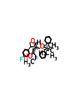 C/C=C\[C@@H](O)[C@H]1[C@H](CO[Si](c2ccccc2)(c2ccccc2)C(C)(C)C)[C@@H]2CC1(c1ccc(F)cc1)CO2